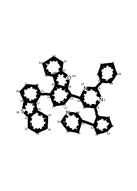 c1ccc(-c2nc(-c3ccccc3-c3cccnc3)cc(-c3ccc(-c4cccc5sc6ccccc6c45)c4c3oc3ccccc34)n2)cc1